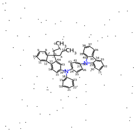 CCCC1(CCC)c2ccccc2-c2ccc(N(c3ccccc3)c3ccc(-n4c5ccccc5c5ccccc54)cc3)cc21